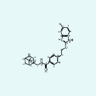 Cc1ccc2[nH]c(SCCc3ccc(C(=O)NCC4CCC5CC4C5(C)C)cc3)nc2c1